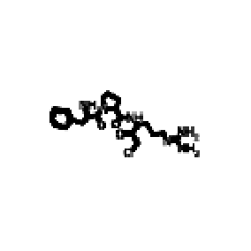 NC(N)=NCCCC(NC(=O)C1CCCN1C(=O)C(N)Cc1ccccc1)C(=O)CCl